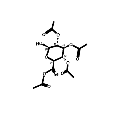 CC(=O)OC(=[Se])[C@H]1O[C@@H](O)[C@H](OC(C)=O)[C@@H](OC(C)=O)[C@@H]1OC(C)=O